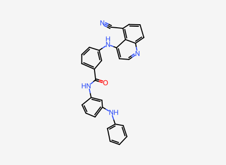 N#Cc1cccc2nccc(Nc3cccc(C(=O)Nc4cccc(Nc5ccccc5)c4)c3)c12